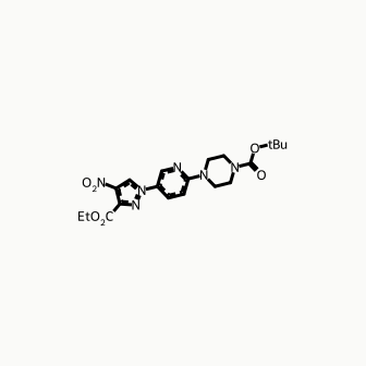 CCOC(=O)c1nn(-c2ccc(N3CCN(C(=O)OC(C)(C)C)CC3)nc2)cc1[N+](=O)[O-]